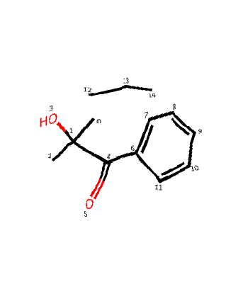 CC(C)(O)C(=O)c1ccccc1.CCC